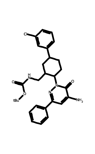 CC(C)(C)OC(=O)NCC1CC(c2cccc(Cl)c2)CCC1n1nc(-c2ccccc2)cc(N)c1=O